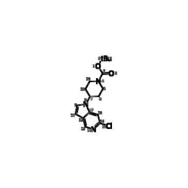 CC(C)(C)OC(=O)N1CCC(n2ccc3cnc(Cl)cc32)CC1